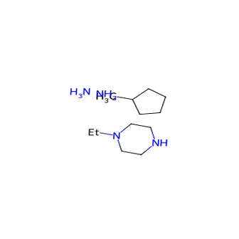 CC1CCCC1.CCN1CCNCC1.N.N